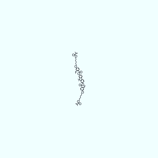 C=C(C)C(=O)OCCCCCCOc1ccc(C(=O)Oc2ccc3c(c2)C(C)(C)c2cc(OC(=O)c4ccc(OCCCCCCOC(=O)C(=C)C)cc4F)ccc2-3)c(F)c1